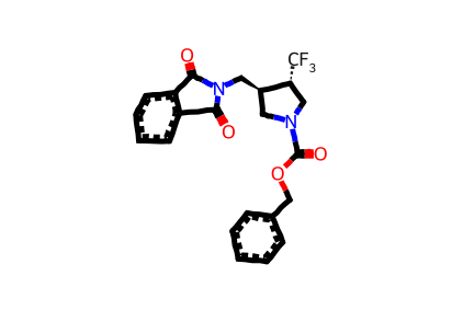 O=C(OCc1ccccc1)N1C[C@@H](CN2C(=O)c3ccccc3C2=O)[C@H](C(F)(F)F)C1